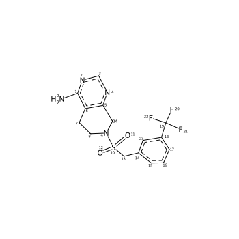 Nc1ncnc2c1CCN(S(=O)(=O)Cc1cccc(C(F)(F)F)c1)C2